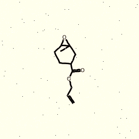 C=CCOC(=O)C1CCC2OC2(C)C1